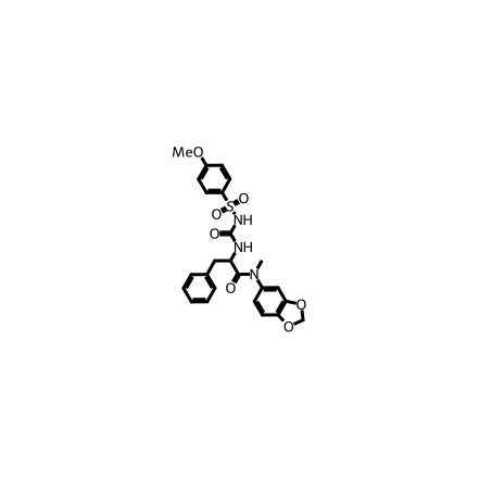 COc1ccc(S(=O)(=O)NC(=O)NC(Cc2ccccc2)C(=O)N(C)c2ccc3c(c2)OCO3)cc1